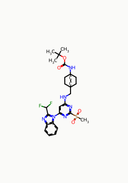 CC(C)(C)OC(=O)NC12CCC(CNc3cc(-n4c(C(F)F)nc5ccccc54)nc(S(C)(=O)=O)n3)(CC1)CC2